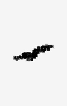 CCOc1ccc(C)c(NC(=O)Nc2ccc3c(c2)CCN(C(=O)O[C@H]2CC[C@H](CC(=O)O)CC2)C3)c1